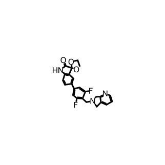 O=C1Nc2ccc(-c3cc(F)c(CN4Cc5cccnc5C4)c(F)c3)cc2C12OCCO2